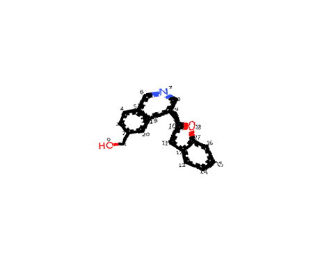 OCc1ccc2cncc(-c3cc4ccccc4o3)c2c1